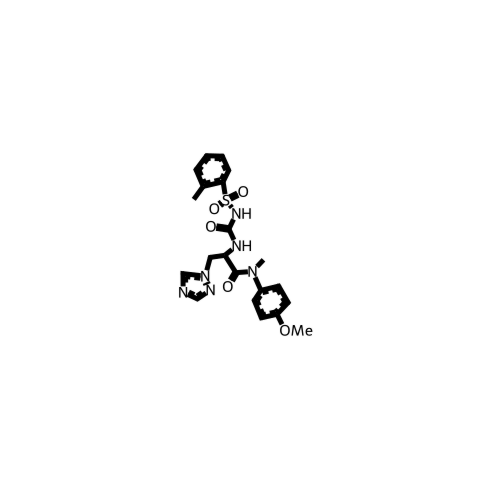 COc1ccc(N(C)C(=O)C(Cn2cncn2)NC(=O)NS(=O)(=O)c2ccccc2C)cc1